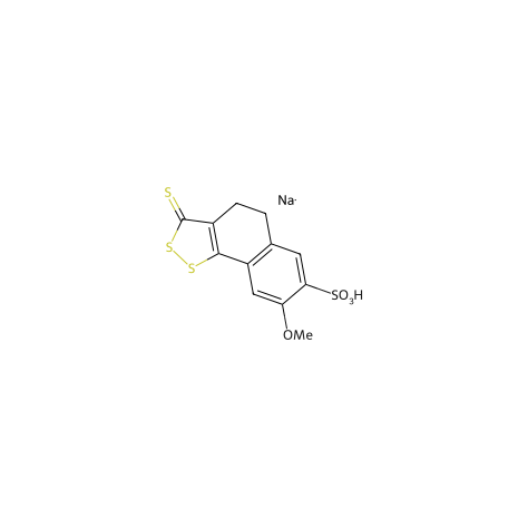 COc1cc2c(cc1S(=O)(=O)O)CCc1c-2ssc1=S.[Na]